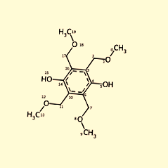 COCc1c(O)c(COC)c(COC)c(O)c1COC